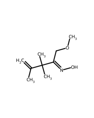 C=C(C)C(C)(C)C(COC)=NO